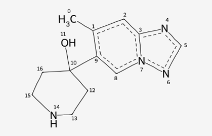 Cc1cc2ncnn2cc1C1(O)CCNCC1